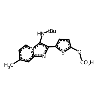 Cc1ccn2c(NC(C)(C)C)c(-c3ccc(OC(=O)O)s3)nc2c1